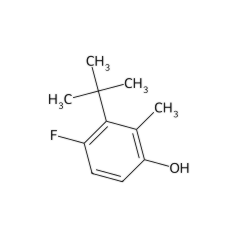 Cc1c(O)ccc(F)c1C(C)(C)C